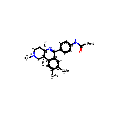 CCCCCC(=O)Nc1ccc(C2=N[C@@H]3CCN(C)C[C@@H]3c3cc(OC)c(OC)cc32)cc1